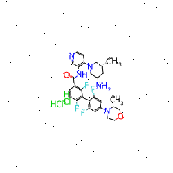 C[C@@H]1C[C@H](N)CN(c2ccncc2NC(=O)c2ccc(F)c(-c3c(F)cc(N4CCOC[C@H]4C)cc3F)c2F)C1.Cl.Cl